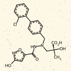 C[C@@](O)(CN(Cc1ccc(-c2ccccc2Cl)cc1)NC(=O)c1cc(O)no1)C(=O)O